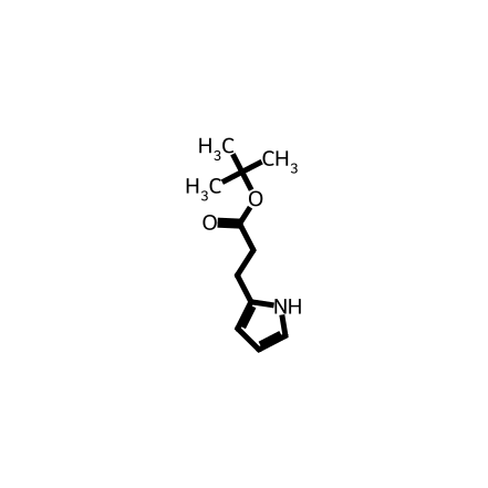 CC(C)(C)OC(=O)CCc1ccc[nH]1